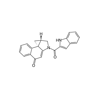 O=C1C=C2N(C(=O)c3cc4ccccc4[nH]3)C[C@H]3C[C@@]23c2ccccc21